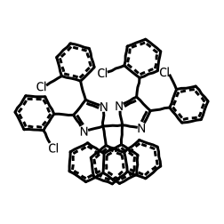 Clc1ccccc1C1=NC(c2cccc3ccccc23)(C2(c3cccc4ccccc34)N=C(c3ccccc3Cl)C(c3ccccc3Cl)=N2)N=C1c1ccccc1Cl